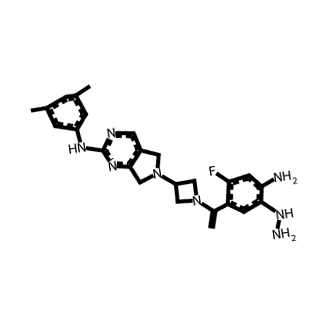 C=C(c1cc(NN)c(N)cc1F)N1CC(N2Cc3cnc(Nc4cc(C)cc(C)c4)nc3C2)C1